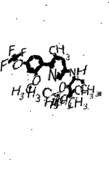 CC[C@H](Nc1cnc(-c2ccc(OC(F)(F)F)cc2OC)c(C)c1)C(O[SiH](C)C)C(C)(C)C